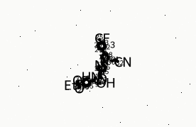 CCS(=O)(=O)c1ccc([C@H](CO)NC(=O)c2ccc(N3CC(c4ccc(C(F)(F)F)cc4)C[C@H]3CCC#N)nc2)cc1